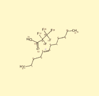 CCCC/C=C/CCCCCC.O=C(O)C(F)(F)C(F)(F)F